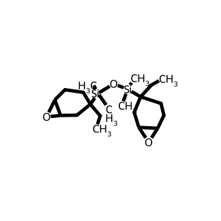 CCC1([Si](C)(C)O[Si](C)(C)C2(CC)CCC3OC3C2)CCC2OC2C1